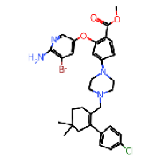 COC(=O)c1ccc(N2CCN(CC3=C(c4ccc(Cl)cc4)CC(C)(C)CC3)CC2)cc1Oc1cnc(N)c(Br)c1